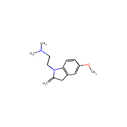 C=C1Cc2cc(OC)ccc2N1CCN(C)C